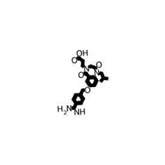 CC(C)CN1C(=O)CN(CCC(=O)O)C(=O)c2cc(OCc3ccc(C(=N)N)cc3)ccc21